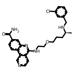 C[C@@H](CCCOCCNc1nc2cc(C(N)=O)ccc2c2cnccc12)NCc1cccc(Cl)c1